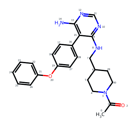 CC(=O)N1CCC(CNc2ncnc(N)c2-c2ccc(Oc3ccccc3)cc2)CC1